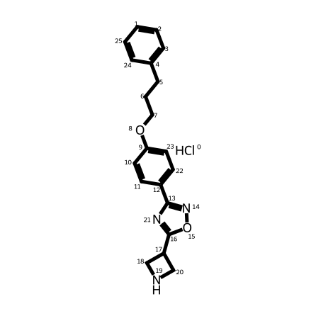 Cl.c1ccc(CCCOc2ccc(-c3noc(C4CNC4)n3)cc2)cc1